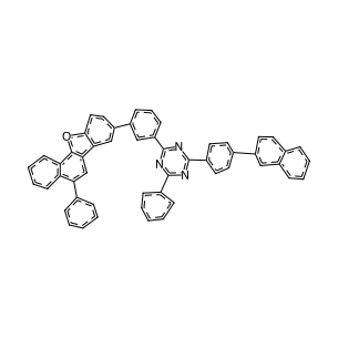 c1ccc(-c2nc(-c3ccc(-c4ccc5ccccc5c4)cc3)nc(-c3cccc(-c4ccc5oc6c7ccccc7c(-c7ccccc7)cc6c5c4)c3)n2)cc1